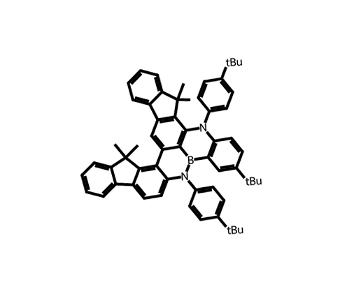 CC(C)(C)c1ccc(N2B3c4cc(C(C)(C)C)ccc4N(c4ccc(C(C)(C)C)cc4)c4c3c(cc3c4C(C)(C)c4ccccc4-3)-c3c2ccc2c3C(C)(C)c3ccccc3-2)cc1